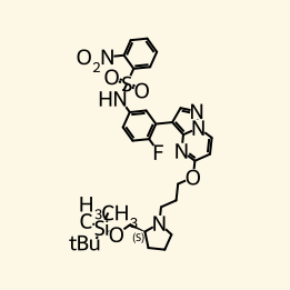 CC(C)(C)[Si](C)(C)OC[C@@H]1CCCN1CCCOc1ccn2ncc(-c3cc(NS(=O)(=O)c4ccccc4[N+](=O)[O-])ccc3F)c2n1